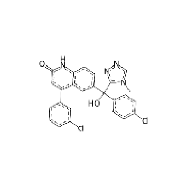 Cn1cnnc1C(O)(c1ccc(Cl)cc1)c1ccc2[nH]c(=O)cc(-c3cccc(Cl)c3)c2c1